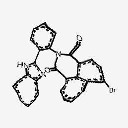 O=C1c2cccc3c(Br)ccc(c23)C(=O)N1c1ccccc1-c1nc2ccccc2[nH]1